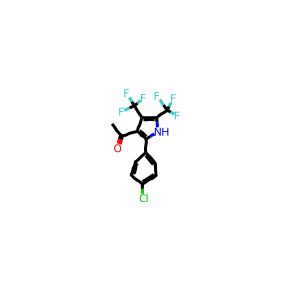 CC(=O)c1c(-c2ccc(Cl)cc2)[nH]c(C(F)(F)F)c1C(F)(F)F